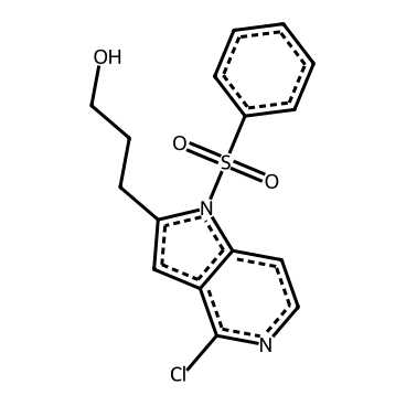 O=S(=O)(c1ccccc1)n1c(CCCO)cc2c(Cl)nccc21